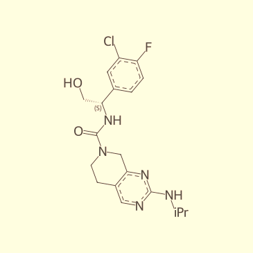 CC(C)Nc1ncc2c(n1)CN(C(=O)N[C@H](CO)c1ccc(F)c(Cl)c1)CC2